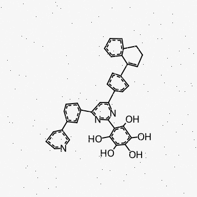 Oc1c(O)c(O)c(-c2nc(-c3ccc(C4=CCCc5ccccc54)cc3)cc(-c3cccc(-c4cccnc4)c3)n2)c(O)c1O